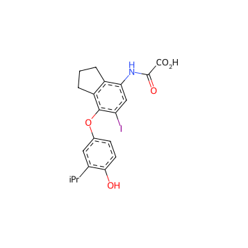 CC(C)c1cc(Oc2c(I)cc(NC(=O)C(=O)O)c3c2CCC3)ccc1O